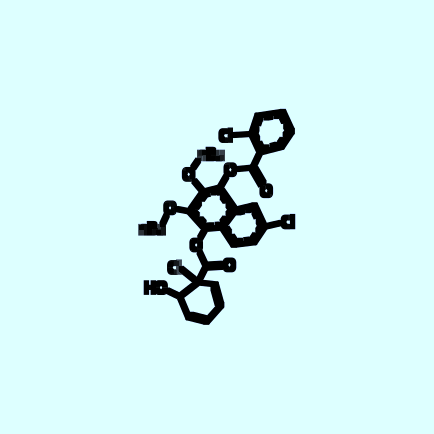 CCCCOc1c(OCCCC)c(OC(=O)C2(Cl)C=CC=CC2O)c2ccc(Cl)cc2c1OC(=O)c1ccccc1Cl